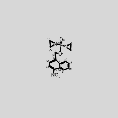 C[C@H](OP(=O)(N1CC1)N1CC1)c1ccc([N+](=O)[O-])c2ccccc12